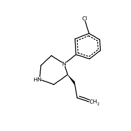 C=CC[C@H]1CNCCN1c1cccc(Cl)c1